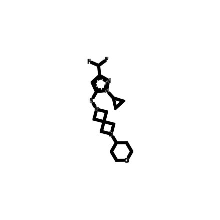 FC(F)c1cc(SN2CC3(C2)CN(C2CCOCC2)C3)n(C2CC2)n1